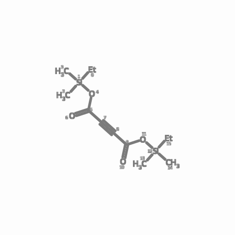 CC[Si](C)(C)OC(=O)C#CC(=O)O[Si](C)(C)CC